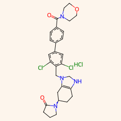 Cl.O=C(c1ccc(-c2cc(Cl)c(CN3CNC4=C3C[C@H](N3CCCC3=O)CC4)c(Cl)c2)cc1)N1CCOCC1